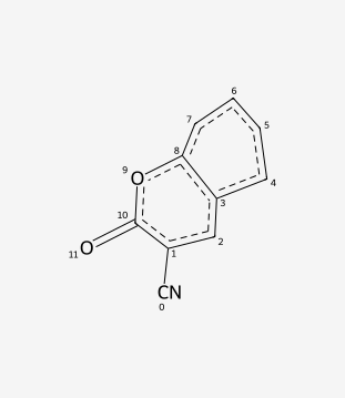 N#Cc1cc2ccccc2oc1=O